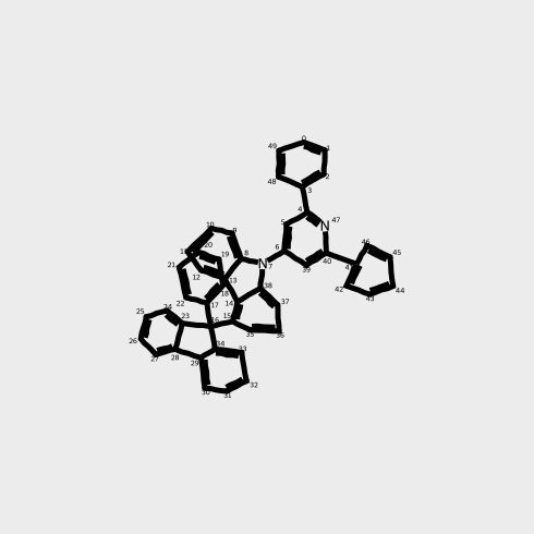 c1ccc(-c2cc(-n3c4ccccc4c4c(C5(c6ccccc6)c6ccccc6-c6ccccc65)cccc43)cc(-c3ccccc3)n2)cc1